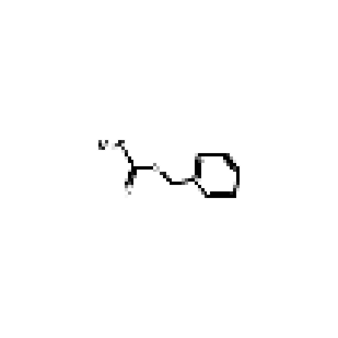 CSC(=S)SCc1ccccc1